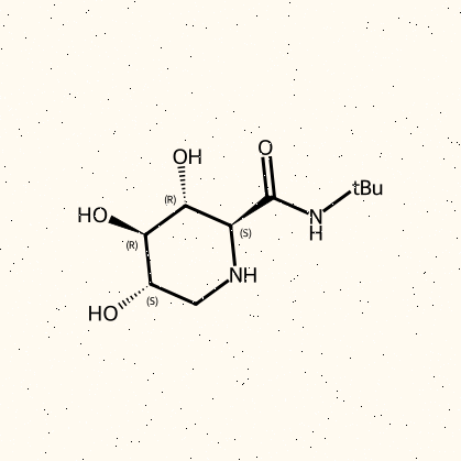 CC(C)(C)NC(=O)[C@H]1NC[C@H](O)[C@@H](O)[C@@H]1O